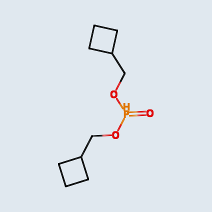 O=[PH](OCC1CCC1)OCC1CCC1